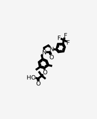 Cc1cc(CN2CCN(c3cccc(C(F)(F)F)c3)C2=O)cc(C)c1OC(C)(C)C(=O)O